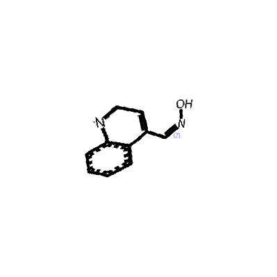 O/N=C\C1=CC[N]c2ccccc21